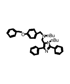 CCCCN(Cc1ccc(OCc2ccccc2)cc1)Cc1c(-c2ccccc2)nc(-c2ccccc2)n1CCCC